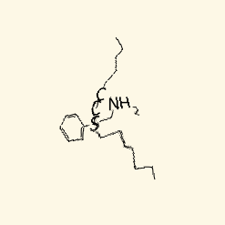 CCCCCCCS(CN)(CCCCCCC)c1ccccc1